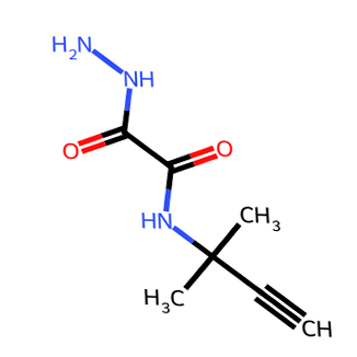 C#CC(C)(C)NC(=O)C(=O)NN